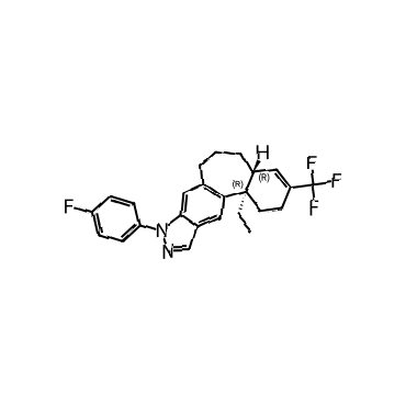 CC[C@@]12CCC(C(F)(F)F)=C[C@H]1CCCc1cc3c(cnn3-c3ccc(F)cc3)cc12